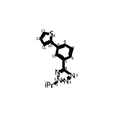 CC(C)n1nnc(-c2cccc(-c3cccs3)c2)n1